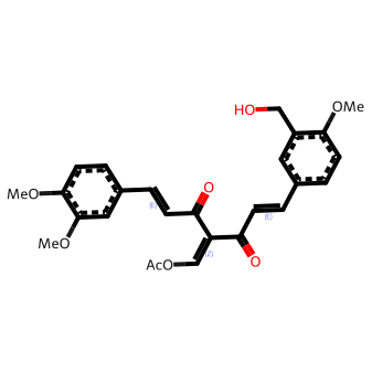 COc1ccc(/C=C/C(=O)/C(=C/OC(C)=O)C(=O)/C=C/c2ccc(OC)c(OC)c2)cc1CO